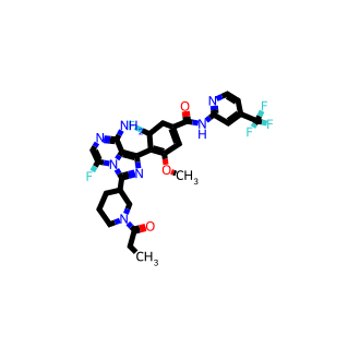 CCC(=O)N1CCCC(c2nc(C3=C(OC)C=C(C(=O)Nc4cc(C(F)(F)F)ccn4)CC3F)c3c(N)ncc(F)n23)C1